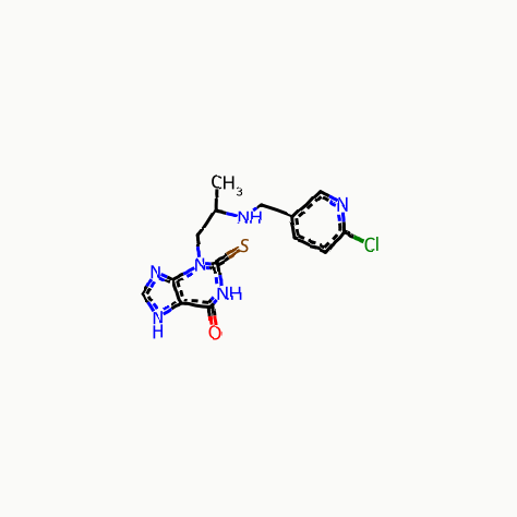 CC(Cn1c(=S)[nH]c(=O)c2[nH]cnc21)NCc1ccc(Cl)nc1